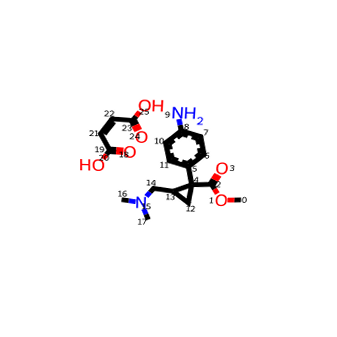 COC(=O)C1(c2ccc(N)cc2)CC1CN(C)C.O=C(O)/C=C\C(=O)O